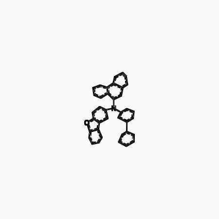 c1ccc(-c2cccc(N(c3ccc4oc5ccccc5c4c3)c3cc4ccccc4c4ccccc34)c2)cc1